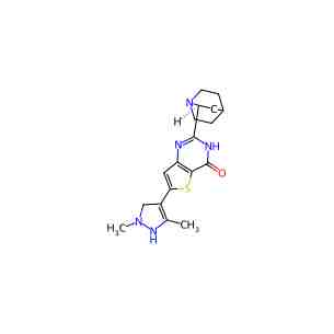 CC1=C(c2cc3nc([C@@H]4CC5CCN4CC5)[nH]c(=O)c3s2)CN(C)N1